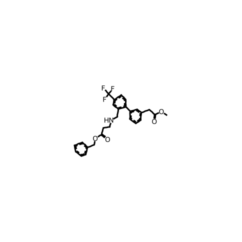 COC(=O)Cc1cccc(-c2ccc(C(F)(F)F)cc2CNCCC(=O)OCc2ccccc2)c1